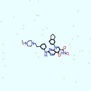 CONC(=O)c1cn(-c2ccc3c(c2)CCC3)c2nc(Nc3cccc(CCN4CCN(SC)CC4)c3)ncc2c1=O